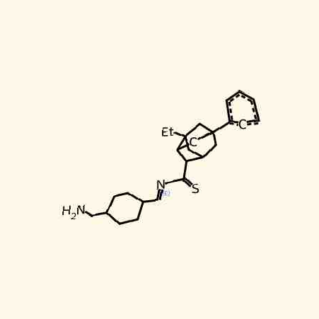 CCC12CC3CC(c4ccccc4)(CC1C3C(=S)/N=C/C1CCC(CN)CC1)C2